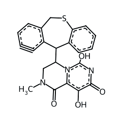 CN1CC(C2c3c#cccc3CSc3ccccc32)n2c(O)nc(=O)c(O)c2C1=O